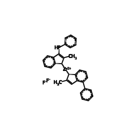 CC1=Cc2c(-c3ccccc3)cccc2[CH]1[Zr+2][CH]1C(C)=C(Pc2ccccc2)c2ccccc21.[F-].[F-]